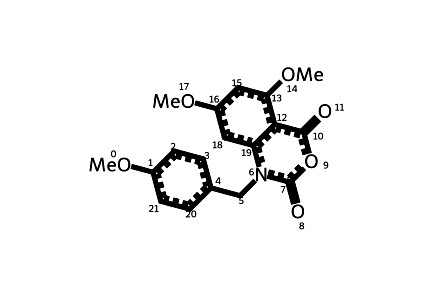 COc1ccc(Cn2c(=O)oc(=O)c3c(OC)cc(OC)cc32)cc1